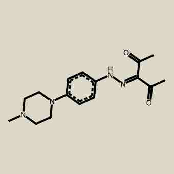 CC(=O)C(=NNc1ccc(N2CCN(C)CC2)cc1)C(C)=O